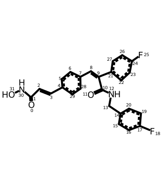 O=C(C=Cc1ccc(C=C(C(=O)NCc2ccc(F)cc2)c2ccc(F)cc2)cc1)NO